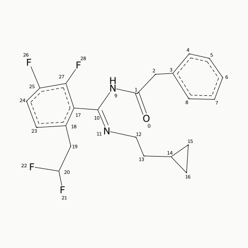 O=C(Cc1ccccc1)N/C(=N\CCC1CC1)c1c(CC(F)F)ccc(F)c1F